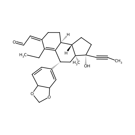 CC#C[C@]1(O)CC[C@H]2[C@@H]3CC/C(=C/C=O)C(CC)=C3[C@@H](C3=CC4OCOC4C=C3)C[C@@]21C